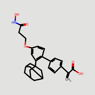 C=C(C(=O)O)c1ccc(-c2ccc(OCCC(=O)NO)cc2C23CC4CC(CC(C4)C2)C3)cc1